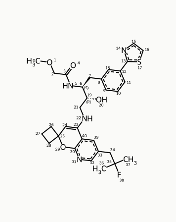 COCC(=O)N[C@@H](Cc1cccc(-c2nccs2)c1)[C@H](O)CNC1=CC2(CCC2)Oc2ncc(CC(C)(C)F)cc21